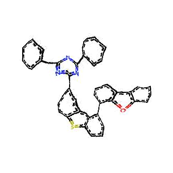 c1ccc(-c2nc(-c3ccccc3)nc(-c3ccc4sc5cccc(-c6cccc7c6oc6ccccc67)c5c4c3)n2)cc1